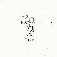 Cc1cccc(-c2ccc(N3CCOCC3)nn2)c1C